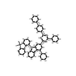 CC1(C)c2ccccc2-c2c(-n3c4ccccc4c4c(-c5ccccc5)cc(-c5nc(-c6ccccc6)nc(-c6ccc(-c7ccccc7)cc6)n5)cc43)cccc21